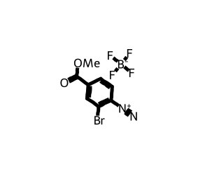 COC(=O)c1ccc([N+]#N)c(Br)c1.F[B-](F)(F)F